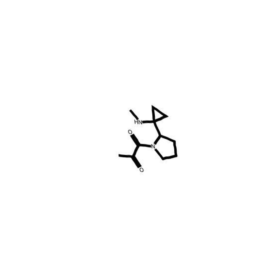 CNC1(C2CCCN2C(=O)C(C)=O)CC1